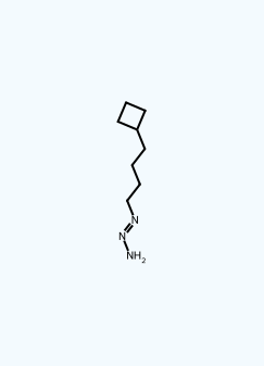 NN=NCCCCC1CCC1